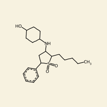 CCCCCC1C(NC2CCC(O)CC2)CC(c2ccccc2)S1(=O)=O